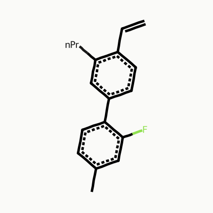 C=Cc1ccc(-c2ccc(C)cc2F)cc1CCC